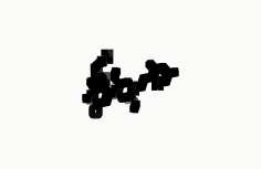 CC[C@@H]1CN(c2cc(=O)n(C)c3cn(CC#N)nc23)[C@@H](CC)CN1CCc1ncc(C)cc1C